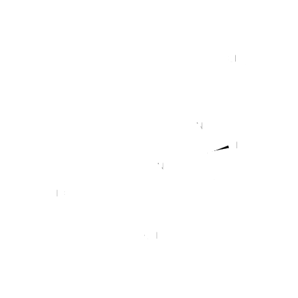 CCCCN1CCN(CCC)[C@@H]2CC21CCC